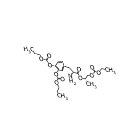 CCCOC(=O)Oc1ccc(C[C@H](N)C(=O)O[C@@H](C)COC(=O)OCC)cc1OC(=O)OCCC